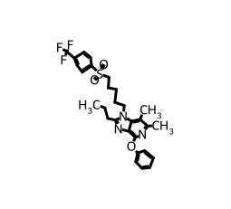 CCCc1nc2c(Oc3ccccc3)nc(C)c(C)c2n1CCCCCS(=O)(=O)c1ccc(C(F)(F)F)cc1